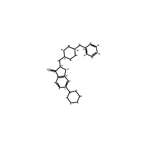 O=C1c2ccc(C3CCCCC3)cc2CC1CC1CCN(Cc2ccccc2)CC1